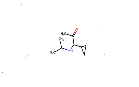 CC(=O)C(NC(C)C)C1CC1